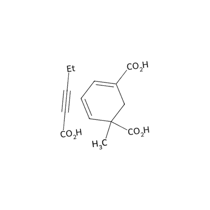 CC1(C(=O)O)C=CC=C(C(=O)O)C1.CCC#CC(=O)O